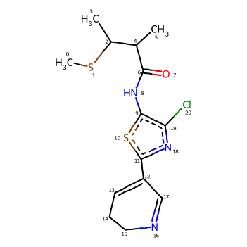 CSC(C)C(C)C(=O)Nc1sc(C2=CCCN=C2)nc1Cl